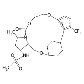 CC1CC(NS(C)(=O)=O)C2COC3CCC(CC3)c3nc(ccc3C(F)(F)F)OCCOC(=O)N12